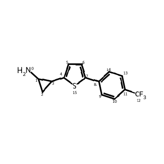 NC1CC1c1ccc(-c2ccc(C(F)(F)F)cc2)s1